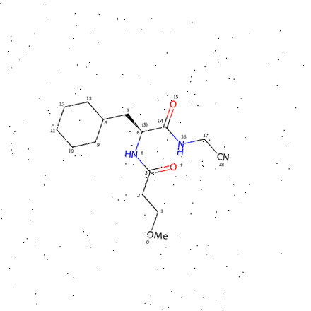 COCCC(=O)N[C@@H](CC1CCCCC1)C(=O)NCC#N